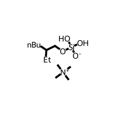 CCCCC(CC)CO[Si]([O-])(O)O.C[N+](C)(C)C